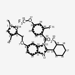 Cn1cc(F)c(COc2ccc3nc(C4CCCCC4C(=O)O)n(Cc4ccc(OC(F)(F)F)cc4F)c3c2)n1